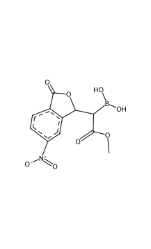 COC(=O)C(B(O)O)C1OC(=O)c2ccc([N+](=O)[O-])cc21